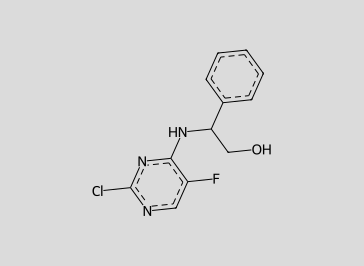 OCC(Nc1nc(Cl)ncc1F)c1ccccc1